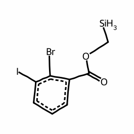 O=C(OC[SiH3])c1cccc(I)c1Br